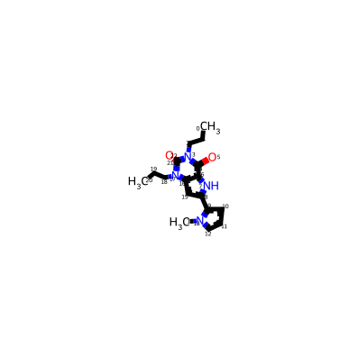 CCCn1c(=O)c2[nH]c(-c3cccn3C)cc2n(CCC)c1=O